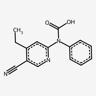 CCc1cc(N(C(=O)O)c2ccccc2)ncc1C#N